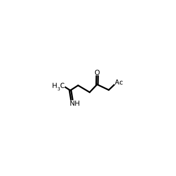 CC(=N)CCC(=O)CC(C)=O